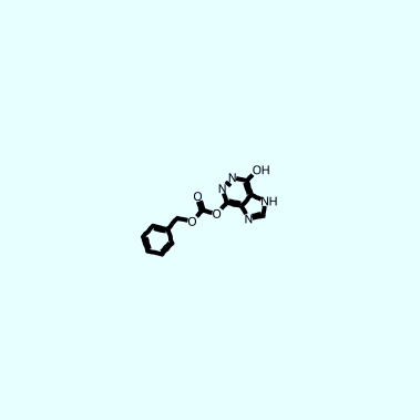 O=C(OCc1ccccc1)Oc1nnc(O)c2[nH]cnc12